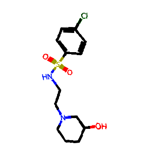 O=S(=O)(NCCN1CCCC(O)C1)c1ccc(Cl)cc1